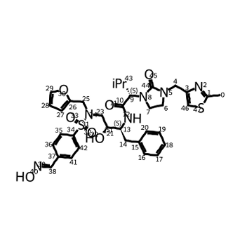 Cc1nc(CN2CCN([C@H](C(=O)N[C@@H](Cc3ccccc3)[C@@H](O)CN(Cc3ccco3)S(=O)(=O)c3ccc(C=NO)cc3)C(C)C)C2=O)cs1